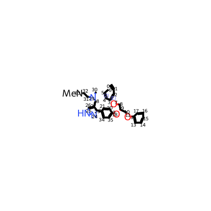 C#C/C=C(\C=C/C)OCC(COc1ccccc1)Oc1ccc(-c2n[nH]cc2CN(C)CCNC)cc1